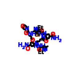 CCn1nc(C)cc1C(=O)Nc1nc2cc(C(N)=O)cc(OCCCNC(=O)CN3CCOCC3)c2n1CCC[C@H]1COc2cc(C(N)=O)cc3nc(NC(=O)c4c(Br)c(C)nn4CC)n1c23